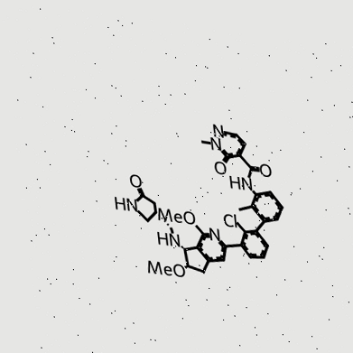 COc1nc(-c2cccc(-c3cccc(NC(=O)c4ccnn(C)c4=O)c3C)c2Cl)cc2c1[C@@H](NC[C@@H]1CNC(=O)C1)[C@H](OC)C2